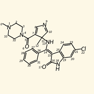 CN1CCN(C(=O)C2=CN=CC2(C)NC(=C2C(=O)Nc3cc(Cl)ccc32)c2ccccc2)CC1